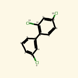 Clc1cc[c]c(-c2ccc(Cl)cc2Cl)c1